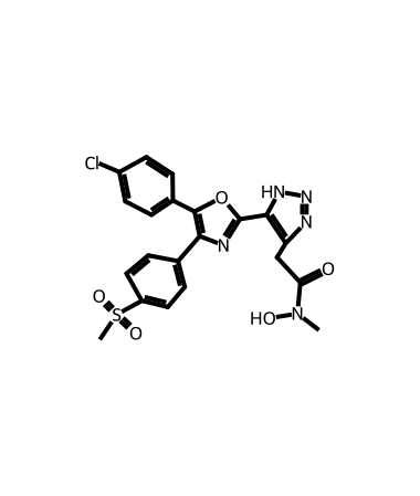 CN(O)C(=O)Cc1nn[nH]c1-c1nc(-c2ccc(S(C)(=O)=O)cc2)c(-c2ccc(Cl)cc2)o1